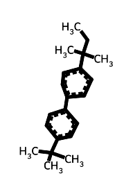 CCC(C)(C)c1ccc(-c2ccc(C(C)(C)C)cc2)cc1